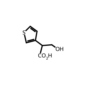 O=C(O)C(CO)c1ccsc1